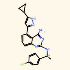 C[C@H](Nc1nc(N)c2c(-c3cc(C4CC4)[nH]n3)cccc2n1)c1ccc(F)cc1